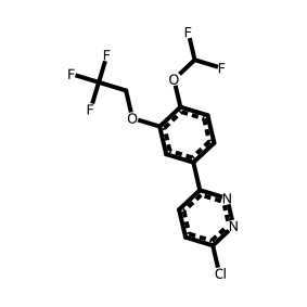 FC(F)Oc1ccc(-c2ccc(Cl)nn2)cc1OCC(F)(F)F